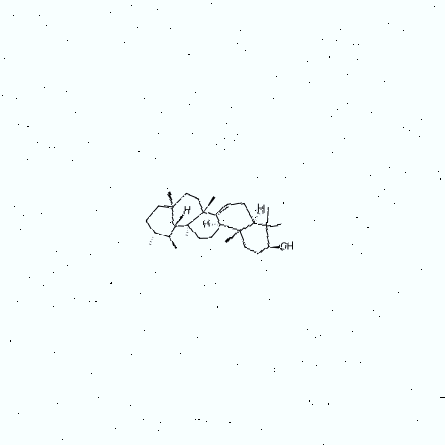 C[C@H]1[C@H](C)CC[C@]2(C)CC[C@]3(C)C4=CC[C@H]5C(C)(C)[C@@H](O)CC[C@]5(C)[C@H]4CC[C@@]3(C)[C@H]12